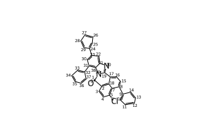 O=c1c2ccc(Cl)c3c(-c4ccccc4)ccc(c32)c2nc3cc(-c4ccccc4)cc(-c4ccccc4)c3n12